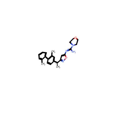 Cc1ccccc1-c1ccc([C@H](C)c2cc(/N=C(\N)N3CCOCC3)on2)cc1C